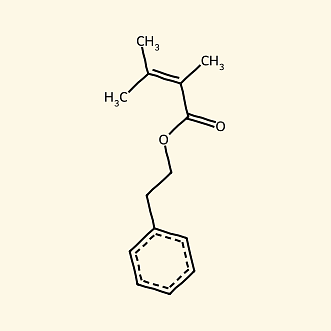 CC(C)=C(C)C(=O)OCCc1ccccc1